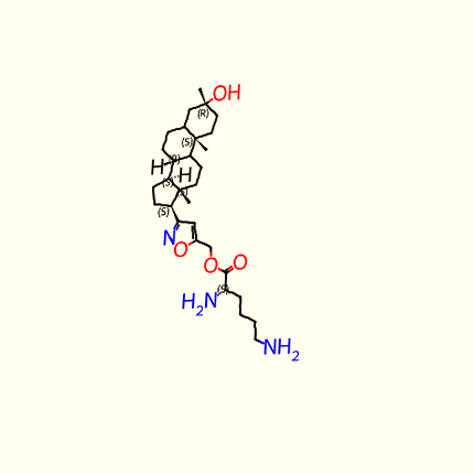 C[C@@]1(O)CC[C@@]2(C)C(CC[C@@H]3C2CC[C@]2(C)[C@@H](c4cc(COC(=O)[C@@H](N)CCCCN)on4)CC[C@@H]32)C1